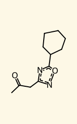 CC(=O)Cc1noc(C2CCCCC2)n1